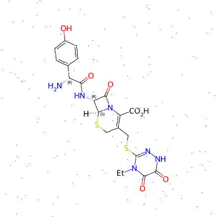 CCn1c(SCC2=C(C(=O)O)N3C(=O)[C@@H](NC(=O)[C@H](N)c4ccc(O)cc4)[C@@H]3SC2)n[nH]c(=O)c1=O